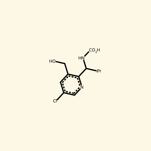 CC(C)C(NC(=O)O)c1ncc(Cl)cc1CO